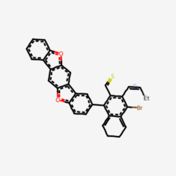 CC/C=C\c1c(C=S)c(-c2ccc3oc4cc5c(cc4c3c2)oc2ccccc25)c2c(c1Br)=CCCC=2